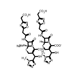 Cn1nnnc1C(S)C1=C(C(=O)[O-])N2C(=O)C(NC(=O)Cc3nc(CC(=O)O)no3)[C@H]2SC1.Cn1nnnc1C(S)C1=C(C(=O)[O-])N2C(=O)C(NC(=O)Cc3nc(CC(=O)O)no3)[C@H]2SC1.[Na+].[Na+]